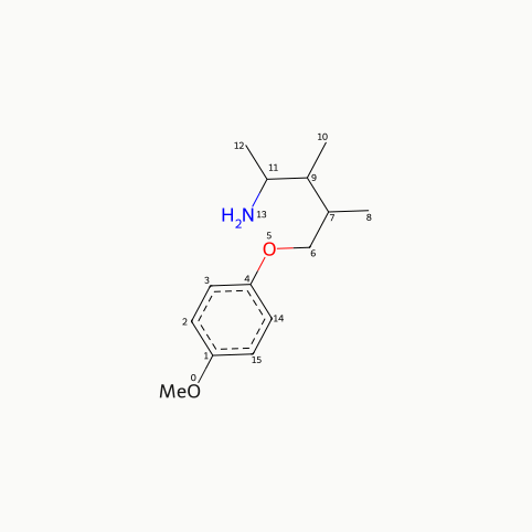 COc1ccc(OCC(C)C(C)C(C)N)cc1